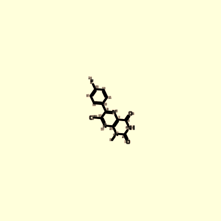 Cn1c(=O)[nH]c(=O)c2nc(-c3ccc(F)cc3)c(Cl)nc21